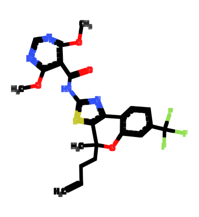 C=CCCC1(C)Oc2cc(C(F)(F)F)ccc2-c2nc(NC(=O)c3c(OC)ncnc3OC)sc21